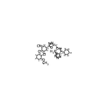 COc1cccc(Oc2c(Cl)cc(-c3nnc(CO/N=C(/c4ccccc4)c4nnnn4C)o3)cc2Cl)c1